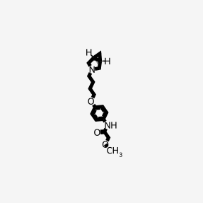 COCC(=O)Nc1ccc(OCCCCN2C[C@H]3C[C@H]3C2)cc1